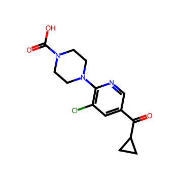 O=C(c1cnc(N2CCN(C(=O)O)CC2)c(Cl)c1)C1CC1